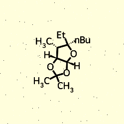 CCCC[C@]1(CC)O[C@@H]2OC(C)(C)O[C@@H]2[C@@H]1C